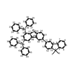 CC1(C)c2ccccc2-c2cc(-c3ccc4sc5c(N(c6ccccc6)c6ccccc6)cc(N(c6ccccc6)c6ccccc6)cc5c4c3)ccc21